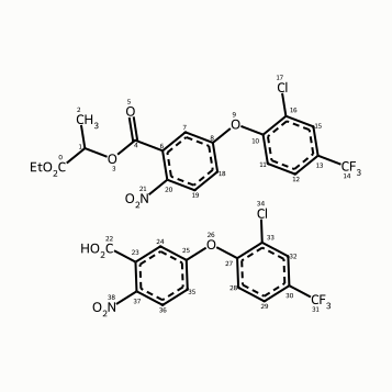 CCOC(=O)C(C)OC(=O)c1cc(Oc2ccc(C(F)(F)F)cc2Cl)ccc1[N+](=O)[O-].O=C(O)c1cc(Oc2ccc(C(F)(F)F)cc2Cl)ccc1[N+](=O)[O-]